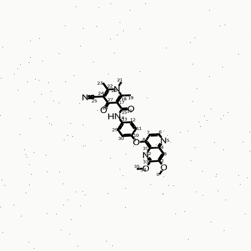 COc1cc2nccc(Oc3ccc(NC(=O)c4c(C)n(C)c(C)c(C#N)c4=O)cc3)c2nc1OC